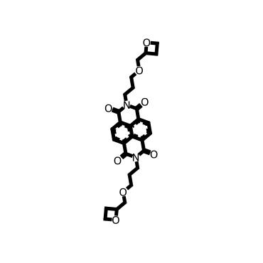 O=C1c2ccc3c4c(ccc(c24)C(=O)N1CCCOCC1CCO1)C(=O)N(CCCOCC1CCO1)C3=O